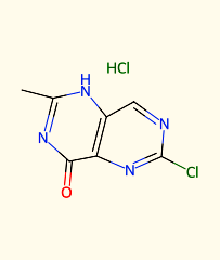 Cc1nc(=O)c2nc(Cl)ncc2[nH]1.Cl